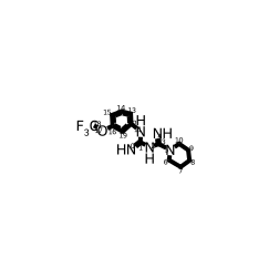 N=C(NC(=N)N1CCCCC1)Nc1cccc(OC(F)(F)F)c1